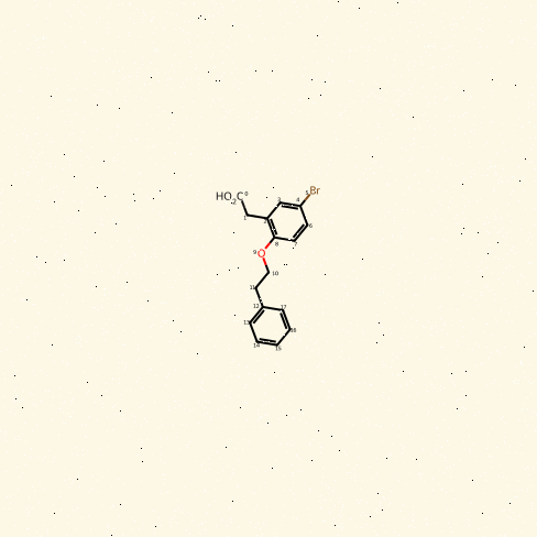 O=C(O)Cc1cc(Br)ccc1OCCc1ccccc1